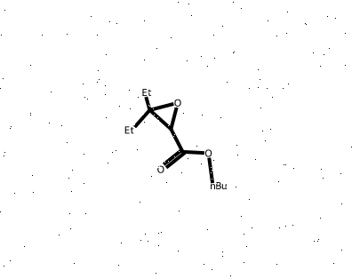 CCCCOC(=O)C1OC1(CC)CC